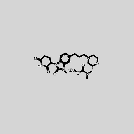 CN(C[C@@H]1CN(CCCc2ccc3c(c2)n(C)c(=O)n3C2CCC(=O)NC2=O)CCO1)C(=O)OC(C)(C)C